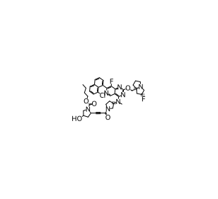 CCCCOC(=O)N1CC(O)CC1C#CC(=O)N1CC[C@@H](N(C)c2nc(OC[C@@]34CCCN3C[C@H](F)C4)nc3c(F)c(-c4cccc5cccc(Cl)c45)ncc23)C1